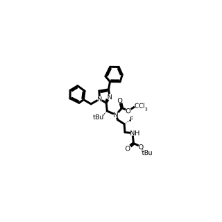 CC(C)(C)OC(=O)NC[C@@H](F)CN(C(=O)OC(Cl)(Cl)Cl)[C@@H](c1nc(-c2ccccc2)cn1Cc1ccccc1)C(C)(C)C